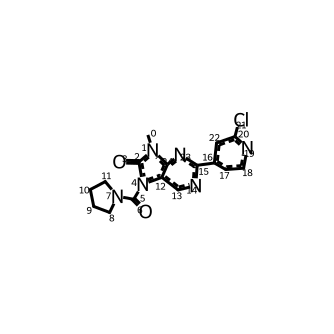 Cn1c(=O)n(C(=O)N2CCCC2)c2cnc(-c3ccnc(Cl)c3)nc21